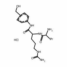 CC(C)C(N)C(=O)NC(CCCNC(N)=O)C(=O)Nc1ccc(CO)cc1.Cl